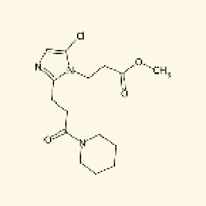 COC(=O)CCn1c(Cl)cnc1CCC(=O)N1CCCCC1